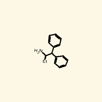 [CH2]CC(N)C(c1ccccc1)c1ccccc1